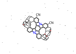 N#Cc1cc2c(c3c1C1CC4CC(C1)CC3C4)c1c3c4c5c(ccc4n4c6ccc7c(c6c(c6c8c9c(c(C#N)cc8n2c16)C1CC2CC6CC9C26C1)c34)C1CC2CC3CC7CC32C1)C1CC2CC3CC5C23C1